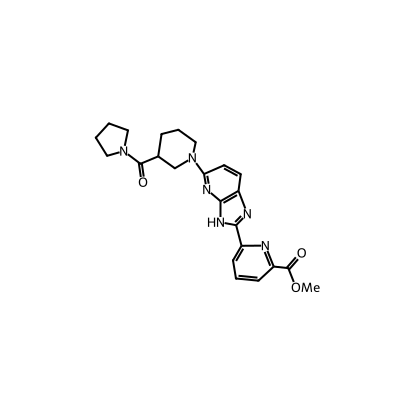 COC(=O)c1cccc(-c2nc3ccc(N4CCCC(C(=O)N5CCCC5)C4)nc3[nH]2)n1